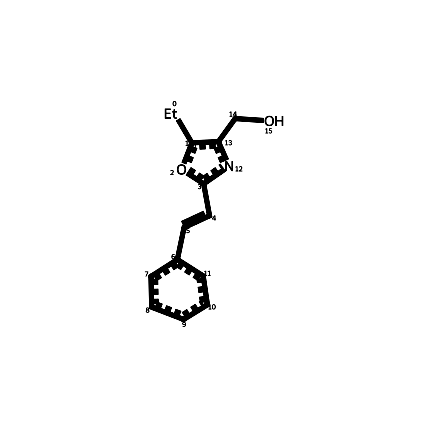 CCc1oc(C=Cc2ccccc2)nc1CO